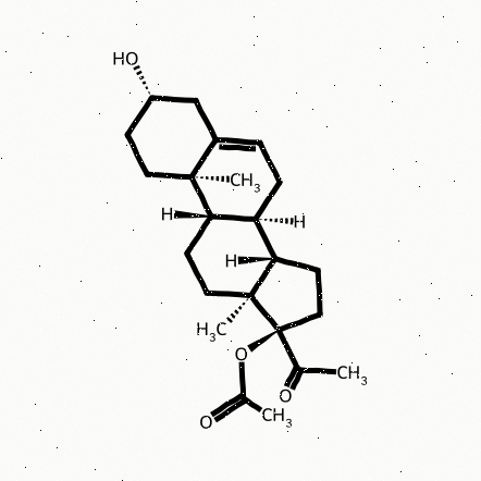 CC(=O)O[C@]1(C(C)=O)CC[C@H]2[C@@H]3CC=C4C[C@@H](O)CC[C@]4(C)[C@H]3CC[C@@]21C